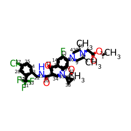 CCOC(=O)CN1[C@H](C)CN(c2c(F)cc3c(=O)c(C(=O)NCc4ccc(Cl)cc4C(F)(F)F)cn(C4CC4)c3c2OC)C[C@@H]1C